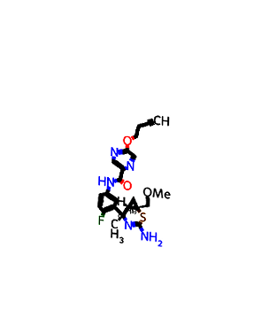 C#CCCOc1cnc(C(=O)Nc2ccc(F)c([C@@]3(C)N=C(N)S[C@@]4(COC)C[C@H]43)c2)cn1